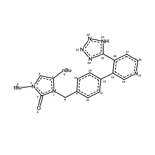 CCCCc1cn(C(C)(C)C)c(=O)n1Cc1ccc(-c2cnccc2-c2nnn[nH]2)cc1